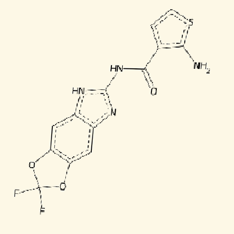 Nc1sccc1C(=O)Nc1nc2cc3c(cc2[nH]1)OC(F)(F)O3